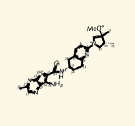 CO[C@]1(C)CN(c2ccc3c(n2)CC[C@H](NC(=O)c2sc4nc(C)cnc4c2N)C3)C[C@H]1C